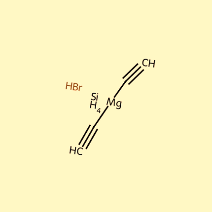 Br.C#[C][Mg][C]#C.[SiH4]